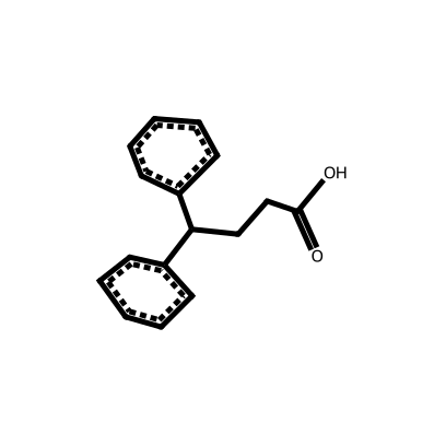 O=C(O)CCC(c1ccccc1)c1ccccc1